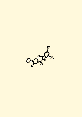 O=C(c1nn2c(C(F)(F)F)cc(C3CC3)cc2c1Cl)N1CCN(C2CC=CC2)C(=O)C1